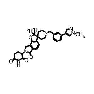 [2H]C1([2H])Oc2c(ccc3c2CN(C2CCC(=O)NC2=O)C3=O)C12CCN(Cc1cccc(-c3cnn(C)c3)c1)CC2